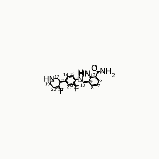 N=C1C(C(N)=O)=CC=C/C1=C/Nc1ccc(C2CNCCC2F)cc1F